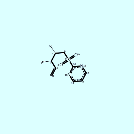 C=C[C@H](C)[C@H](C)CS(=O)(=O)c1ncccn1